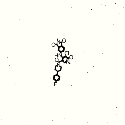 CN1C(=O)c2ccc(Nc3c(C(=O)N4CCC(c5ccc(F)cc5)CC4)cn(C)c(=O)c3Cl)cc2C1=O